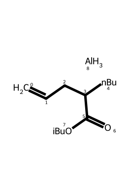 C=CCC(CCCC)C(=O)OCC(C)C.[AlH3]